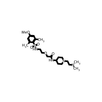 COc1cc(C)c(S(=O)(=O)NCCOCC(=O)NC2CCN(CCN(C)C)CC2)c(C)c1